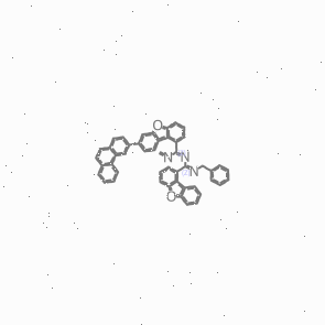 C=N/C(=N\C(=N/Cc1ccccc1)c1cccc2oc3ccccc3c12)c1cccc2oc3cc(-c4ccc5ccc6ccccc6c5c4)ccc3c12